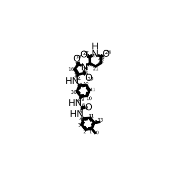 Cc1ccc(NC(=O)Nc2cccc(NC3=CC(=O)N(C4CCC(=O)NC4=O)C3=O)c2)cc1C